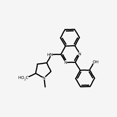 CN1CC(Nc2nc(-c3ccccc3O)nc3ccccc23)CC1C(=O)O